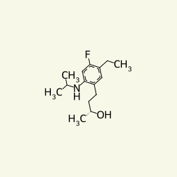 CCc1cc(CC[C@@H](C)O)c(NC(C)C)cc1F